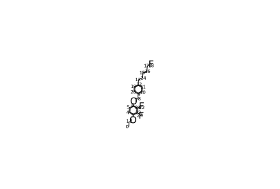 CCOc1ccc(OCc2ccc(CCC=CCF)cc2)c(F)c1F